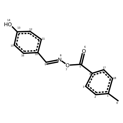 Cc1ccc(C(=O)O/N=C/c2ccc(O)cc2)cc1